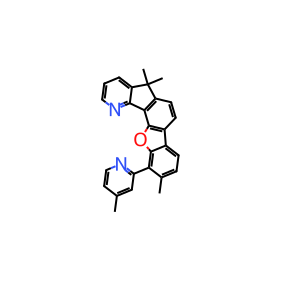 Cc1ccnc(-c2c(C)ccc3c2oc2c4c(ccc23)C(C)(C)c2cccnc2-4)c1